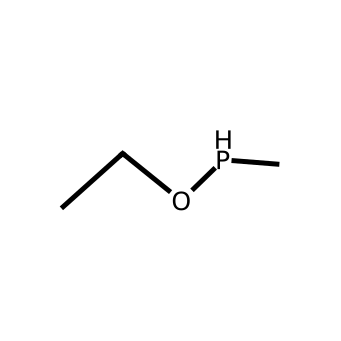 CCOPC